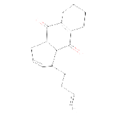 C=CCCC1C=CCC2C(=O)C3=C(CCCC3)C(=O)C12